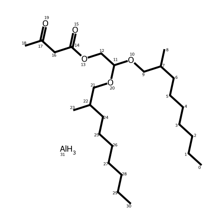 CCCCCCCC(C)COC(COC(=O)CC(C)=O)OCC(C)CCCCCCC.[AlH3]